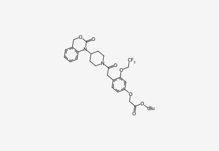 CC(C)(C)OC(=O)COc1ccc(CC(=O)N2CCC(N3C(=O)OCc4ccccc43)CC2)c(OCC(F)(F)F)c1